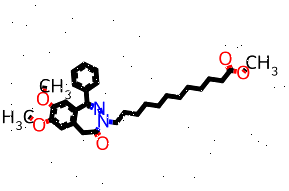 COC(=O)CCCCCCCCCCCN1N=C(c2ccccc2)c2cc(OC)c(OC)cc2CC1=O